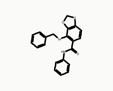 O=C(Nc1ccccc1)c1ccc2c(c1[Se]Cc1ccccc1)OCO2